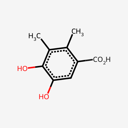 Cc1c(C(=O)O)cc(O)c(O)c1C